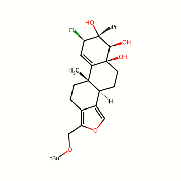 CC(C)[C@]1(O)[C@H](Cl)C=C2[C@@]3(C)CCc4c(coc4COC(C)(C)C)[C@@H]3CC[C@@]2(O)[C@@H]1O